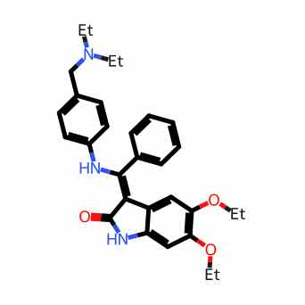 CCOc1cc2c(cc1OCC)/C(=C(/Nc1ccc(CN(CC)CC)cc1)c1ccccc1)C(=O)N2